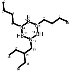 CCCCN1BN(CCCC)BN(CC(CC)CC)B1